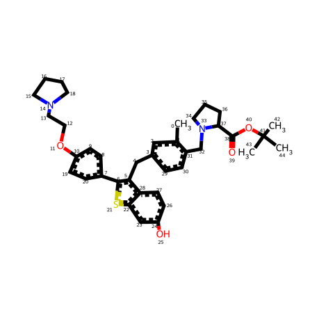 Cc1cc(Cc2c(-c3ccc(OCCN4CCCC4)cc3)sc3cc(O)ccc23)ccc1CN1CCCC1C(=O)OC(C)(C)C